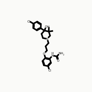 CC1(C)CN(CCCOc2ccc(Cl)cc2NC(N)=O)CCC1(O)c1ccc(Cl)cc1